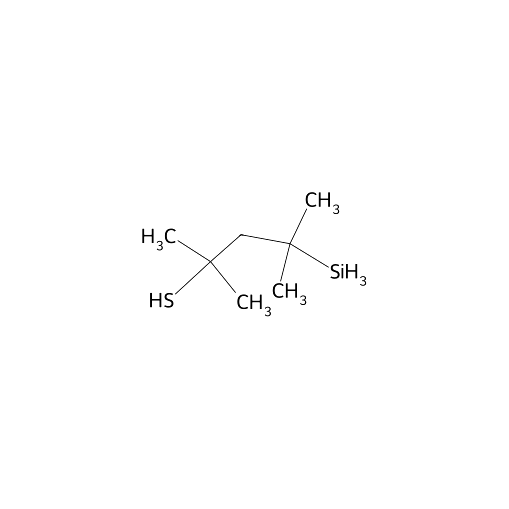 CC(C)([SiH3])CC(C)(C)S